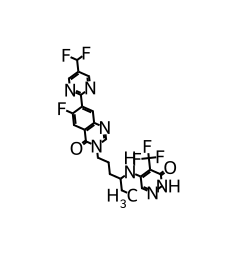 CCC(CCCn1cnc2cc(-c3ncc(C(F)F)cn3)c(F)cc2c1=O)Nc1cn[nH]c(=O)c1C(F)(F)F